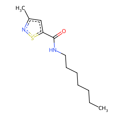 CCCCCCCNC(=O)c1cc(C)ns1